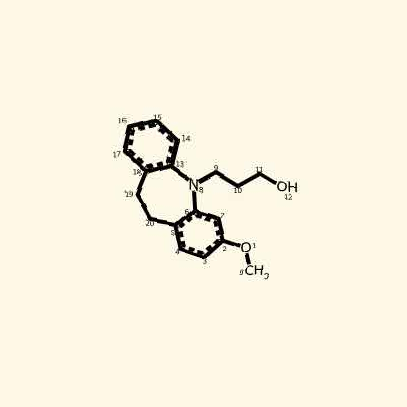 COc1ccc2c(c1)N(CCCO)c1ccccc1CC2